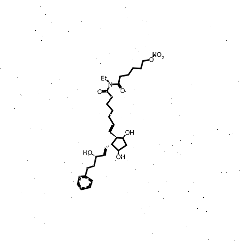 CCN(C(=O)CCCCC=C[C@@H]1[C@@H](C=C[C@@H](O)CCc2ccccc2)[C@H](O)C[C@@H]1O)C(=O)CCCCCO[N+](=O)[O-]